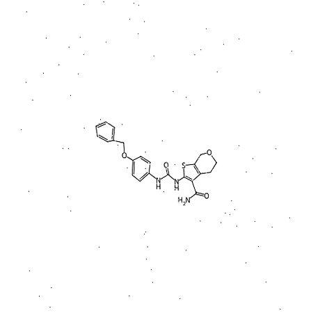 NC(=O)c1c(NC(=O)Nc2ccc(OCc3ccccc3)cc2)sc2c1CCOC2